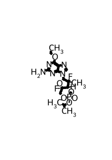 CCOc1nc(N)nc2c1ncn2C1O[C@]2(F)CO[P@](=O)(OC(C)C)O[C@H]2[C@@]1(C)F